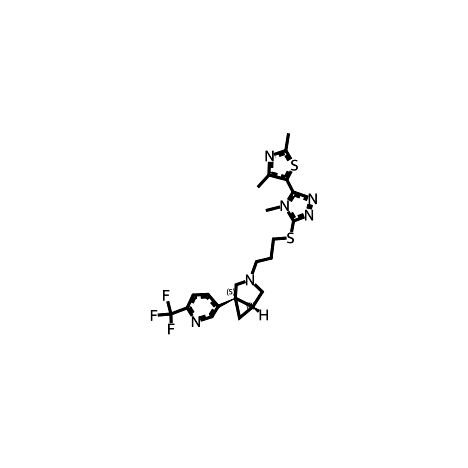 Cc1nc(C)c(-c2nnc(SCCCN3C[C@@H]4C[C@]4(c4ccc(C(F)(F)F)nc4)C3)n2C)s1